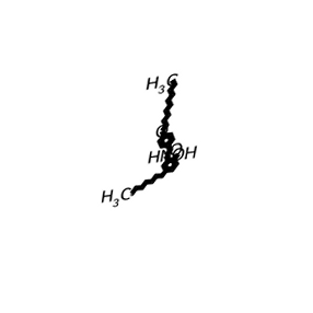 CCCCCCCCCCOc1ccc(C(=O)Nc2cc(CCCCCCCC)ccc2O)cc1